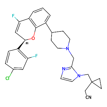 N#CCC1(Cn2ccnc2CN2CCC(c3cccc4c3O[C@@H](c3ccc(Cl)cc3F)C=C4F)CC2)CC1